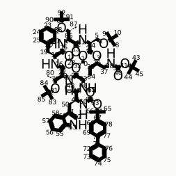 COC(=O)[C@H](COC(C)(C)C)NC(=O)[C@@H](NC(=O)[C@H](Cc1ccccc1)NC(=O)[C@@H](NC(=O)[C@H](CCCCNC(=O)OC(C)(C)C)NC(=O)[C@H](Cc1c[nH]c2ccccc12)NC(=O)OC(C)(C)c1ccc(-c2ccccc2)cc1)[C@@H](C)OC(C)(C)C)[C@@H](C)OC(C)(C)C